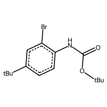 CC(C)(C)OC(=O)Nc1ccc(C(C)(C)C)cc1Br